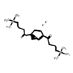 C[N+](C)(C)CCCC(=O)c1ccc(C(=O)CCC[N+](C)(C)C)cc1.[I-].[I-]